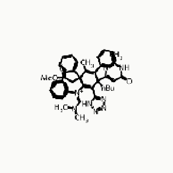 CCCCC1(c2cc(=O)[nH]c(C)n2)C(c2ccccc2)=C(C)C(CC(=O)OC)(c2ccccc2-c2ccccc2)C([N+](=CN(C)C)c2ccccc2)=C1c1nnn[nH]1